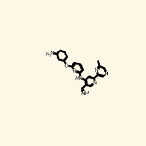 Cc1cncc(-c2cc(Nc3cccc(OC4CCCC(N)C4)n3)c(C=N)cn2)n1